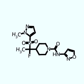 Cn1nccc1S(=O)(=O)C(C)(F)C1CCN(C(=O)Nc2ccon2)CC1